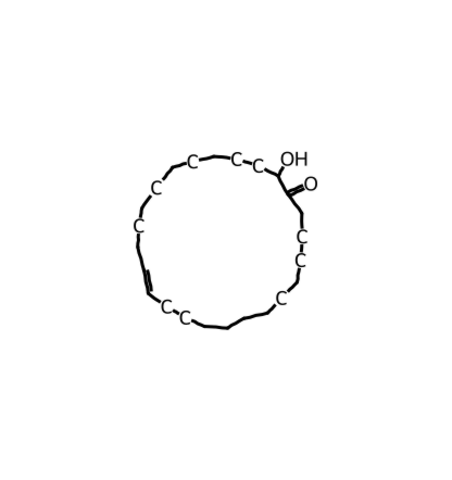 O=C1CCCCCCCCCCC/C=C/CCCCCCCCCC1O